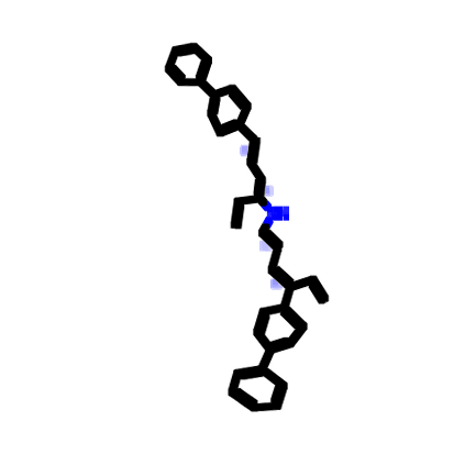 C=C/C(=C\C=C\c1ccc(-c2ccccc2)cc1)N/C=C/C=C(\C=C)c1ccc(-c2ccccc2)cc1